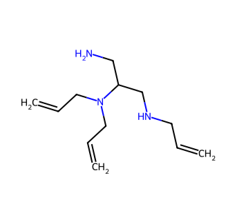 C=CCNCC(CN)N(CC=C)CC=C